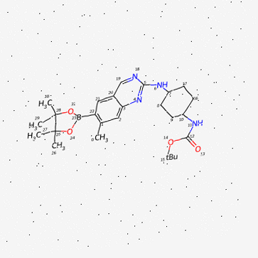 Cc1cc2nc(NC3CCC(NC(=O)OC(C)(C)C)CC3)ncc2cc1B1OC(C)(C)C(C)(C)O1